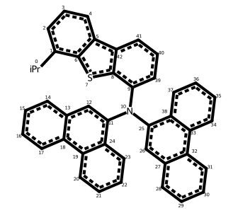 CC(C)c1cccc2c1sc1c(N(c3cc4ccccc4c4ccccc34)c3cc4ccccc4c4ccccc34)cccc12